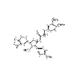 COc1ccc(C2C(C(=O)O)C(c3ccc4c(c3)OCO4)CN2CC(=O)NCc2ccc(OC)c(OC)c2)cc1